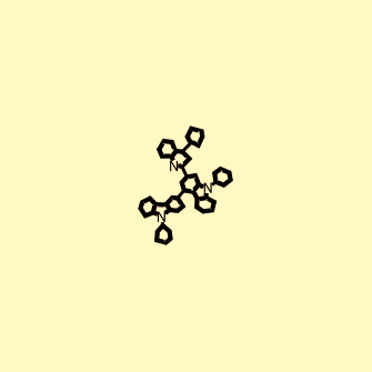 c1ccc(-c2cc(-c3cc(-c4ccc5c(c4)c4ccccc4n5-c4ccccc4)c4c5ccccc5n(-c5ccccc5)c4c3)nc3ccccc23)cc1